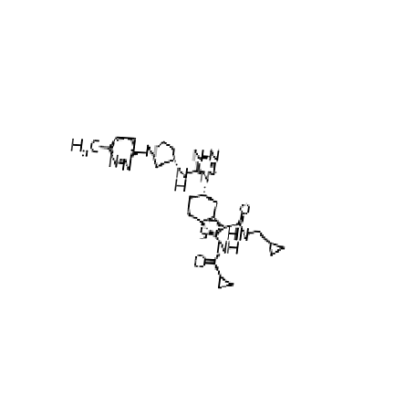 Cc1ccc(N2CC[C@H](Nc3nncn3[C@H]3CCc4sc(NC(=O)C5CC5)c(C(=O)NCC5CC5)c4C3)C2)nn1